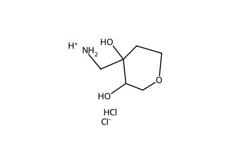 Cl.NCC1(O)CCOCC1O.[Cl-].[H+]